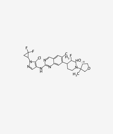 Cc1cc2cnc(Nc3cnn(C4CC4(F)F)c3Cl)nc2cc1C1CCN(C2(C)COC[C@H]2O)CC1F